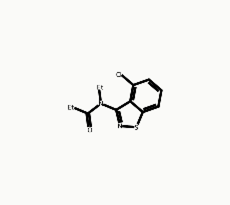 CCC(=O)N(CC)c1nsc2cccc(Cl)c12